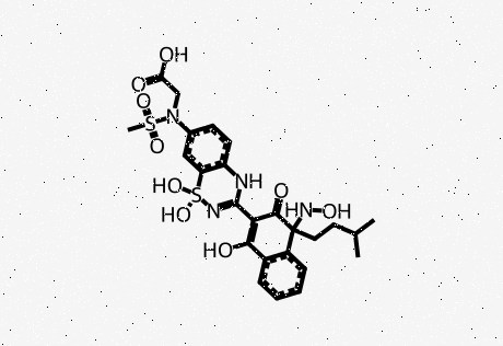 CC(C)CCC1(NO)C(=O)C(C2=NS(O)(O)c3cc(N(CC(=O)O)S(C)(=O)=O)ccc3N2)=C(O)c2ccccc21